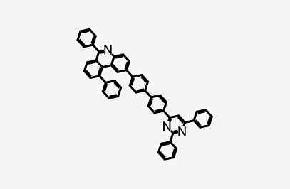 c1ccc(-c2cc(-c3ccc(-c4ccc(-c5ccc6nc(-c7ccccc7)c7cccc(-c8ccccc8)c7c6c5)cc4)cc3)nc(-c3ccccc3)n2)cc1